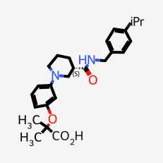 CC(C)c1ccc(CNC(=O)[C@H]2CCCN(c3cccc(OC(C)(C)C(=O)O)c3)C2)cc1